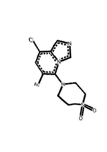 CC(=O)c1cc(Cl)c2cncn2c1N1CCS(=O)(=O)CC1